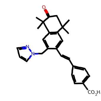 CC1(C)CC(=O)C(C)(C)c2cc(Cn3cccn3)c(C=Cc3ccc(C(=O)O)cc3)cc21